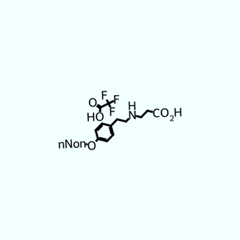 CCCCCCCCCOc1ccc(CCNCCC(=O)O)cc1.O=C(O)C(F)(F)F